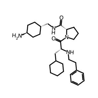 N[C@H]1CC[C@H](CNC(=O)[C@@H]2CCCN2C(=O)[C@@H](CC2CCCCC2)NCCc2ccccc2)CC1